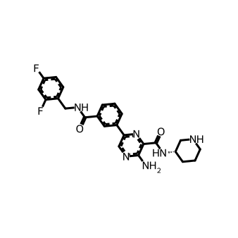 Nc1ncc(-c2cccc(C(=O)NCc3ccc(F)cc3F)c2)nc1C(=O)N[C@H]1CCCNC1